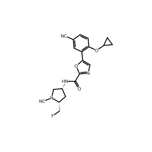 N#Cc1ccc(OC2CC2)c(-c2cnc(C(=O)N[C@@H]3C[C@H](CF)N(C#N)C3)o2)c1